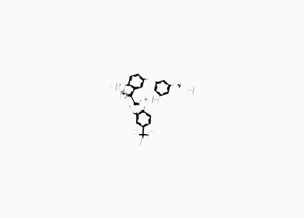 COc1cccc(Oc2ccc3[nH]nc(-c4nc5cc(C(F)(F)F)ccc5n4C)c3c2)c1